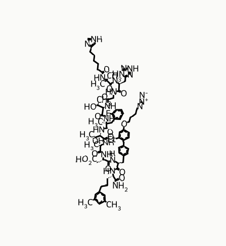 CCc1cc(OCCCCN=[N+]=[N-])ccc1-c1ccc(C[C@H](NC(=O)[C@H](CC(=O)O)NC(=O)[C@H](C)NC(=O)[C@@H](NC(=O)[C@](C)(Cc2ccccc2F)NC(=O)[C@@H](NC(=O)CNC(=O)[C@H](Cc2nn[nH]n2)NC(=O)C(C)(C)NC(=O)CCCCCc2c[nH]cn2)[C@@H](C)O)[C@@H](C)O)C(=O)N[C@@H](CCCc2cc(C)cc(C)c2)C(N)=O)cc1